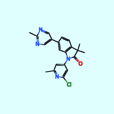 Cc1cc(N2C(=O)C(C)(C)c3ccc(-c4cnc(C)nc4)cc32)cc(Cl)n1